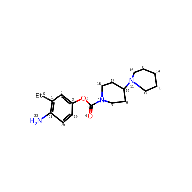 CCc1cc(OC(=O)N2CCC(N3CCCCC3)CC2)ccc1N